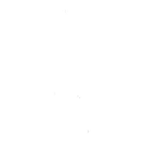 Cc1ccc(CCCCCCC(I)c2cc3cc(F)ccc3[nH]2)cc1